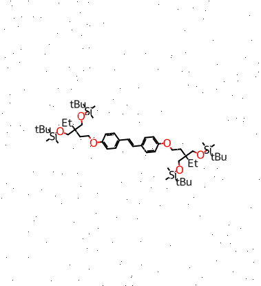 CCC(CCOc1ccc(/C=C/c2ccc(OCCC(CC)(CO[Si](C)(C)C(C)(C)C)CO[Si](C)(C)C(C)(C)C)cc2)cc1)(CO[Si](C)(C)C(C)(C)C)CO[Si](C)(C)C(C)(C)C